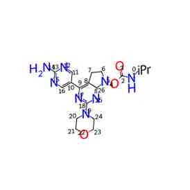 CC(C)NC(=O)ON1CCc2c(-c3cnc(N)nc3)nc(N3CCOCC3)nc21